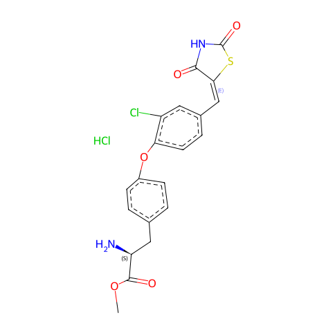 COC(=O)[C@@H](N)Cc1ccc(Oc2ccc(/C=C3/SC(=O)NC3=O)cc2Cl)cc1.Cl